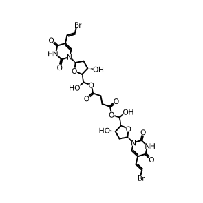 O=C(CCC(=O)OC(O)[C@H]1O[C@@H](n2cc(/C=C/Br)c(=O)[nH]c2=O)C[C@@H]1O)OC(O)[C@H]1O[C@@H](n2cc(/C=C/Br)c(=O)[nH]c2=O)C[C@@H]1O